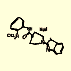 O=C(O)c1ccccc1NC(=O)N1CCN(c2nc3ccccc3s2)CC1.[NaH]